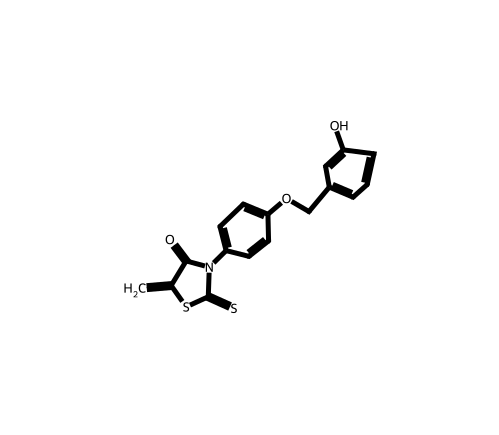 C=C1SC(=S)N(c2ccc(OCc3cccc(O)c3)cc2)C1=O